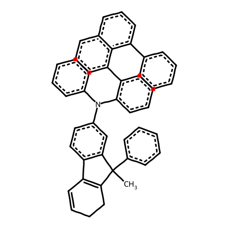 CC1(c2ccccc2)C2=C(C=CCC2)c2ccc(N(c3ccccc3)c3ccccc3-c3cccc4cccc(-c5ccccc5)c34)cc21